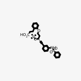 C[Si](C)(C)O[C@@H](C#Cc1cccc(NS(=O)(=O)c2ccccc2)c1)CCOc1ccccc1CCC(=O)O